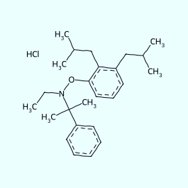 CCN(Oc1cccc(CC(C)C)c1CC(C)C)C(C)(C)c1ccccc1.Cl